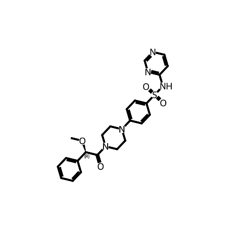 CO[C@@H](C(=O)N1CCN(c2ccc(S(=O)(=O)Nc3ccncn3)cc2)CC1)c1ccccc1